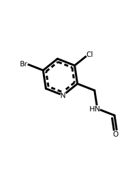 O=CNCc1ncc(Br)cc1Cl